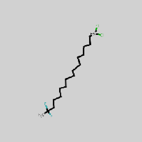 FC(F)(F)C(F)(F)CCCCCCCCCCCCCC[SiH](Cl)Cl